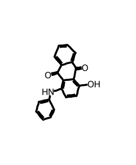 O=C1c2ccccc2C(=O)c2c(Nc3ccccc3)ccc(O)c21